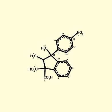 CC1C(C(=O)O)(C(=O)O)c2ccccc2C1(C)c1ccc([N+](=O)[O-])cc1